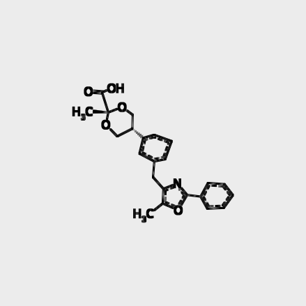 Cc1oc(-c2ccccc2)nc1Cc1cccc([C@H]2CO[C@@](C)(C(=O)O)OC2)c1